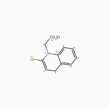 CCOC(=O)CN1C(Cl)=CCc2ccccc21